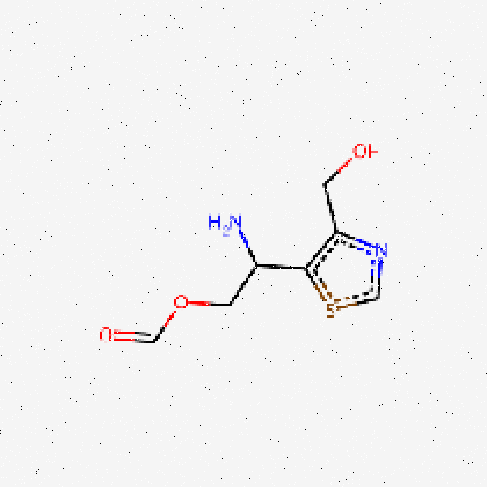 NC(COC=O)c1scnc1CO